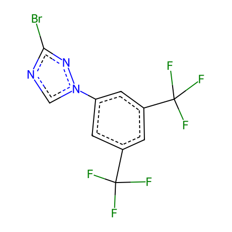 FC(F)(F)c1cc(-n2cnc(Br)n2)cc(C(F)(F)F)c1